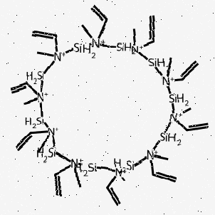 C=C[N+]1(C)[SiH2][N+](C)(C=C)[SiH2][N+](C)(C=C)[SiH2][N+](C)(C=C)[SiH2][N+](C)(C=C)[SiH2][N+](C)(C=C)[SiH2][N+](C)(C=C)[SiH2][N+](C)(C=C)[SiH2][N+](C)(C=C)[SiH2][N+](C)(C=C)[SiH2]1